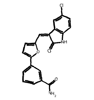 NC(=O)c1cccc(-c2ccc(C=C3C(=O)Nc4ccc(Cl)cc43)o2)c1